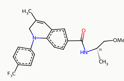 COC[C@H](C)NC(=O)c1ccc2c(c1)C=C(C)CN2c1ccc(C(F)(F)F)cc1